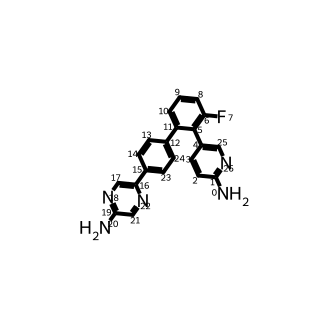 Nc1ccc(-c2c(F)cccc2-c2ccc(-c3cnc(N)cn3)cc2)cn1